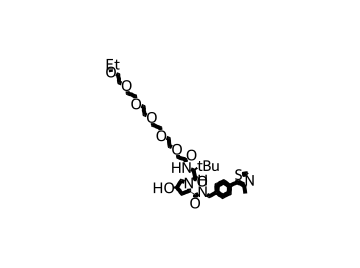 CCOCCOCCOCCOCCOCCOCC(=O)N[C@H](C(=O)N1C[C@H](O)C[C@H]1C(=O)NCc1ccc(-c2scnc2C)cc1)C(C)(C)C